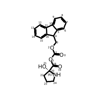 O=C(OCC1c2ccccc2-c2ccccc21)OC(=O)[C@]1(O)CCCN1